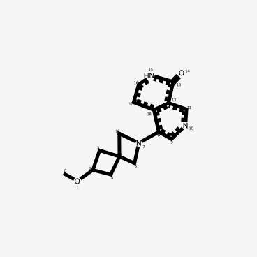 COC1CC2(C1)CN(c1cncc3c(=O)[nH]ccc13)C2